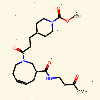 COC(=O)CCNC(=O)C1C/C=C\CCN(C(=O)CCC2CCN(C(=O)OC(C)(C)C)CC2)C1